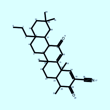 CCCC12CCC3C(C(=O)C=C4C5(C)C=C(C#N)C(=O)C(C)C5CCC43C)C1CC(C)(C)CC2